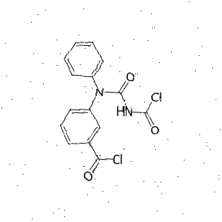 O=C(Cl)NC(=O)N(c1ccccc1)c1cccc(C(=O)Cl)c1